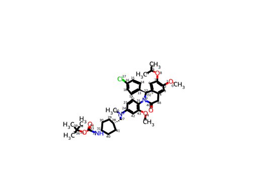 COc1cc2c(cc1OC(C)C)[C@H](c1ccc(Cl)cc1)N(c1ccc(N(C)C[C@H]3CC[C@H](NC(=O)OC(C)(C)C)CC3)cc1OC)C(=O)C2